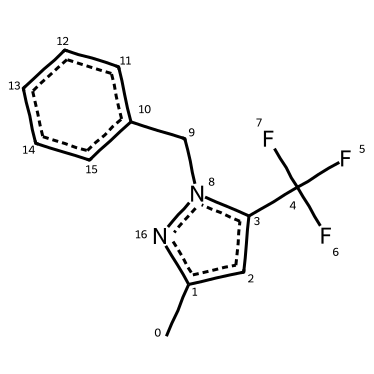 Cc1cc(C(F)(F)F)n(Cc2ccccc2)n1